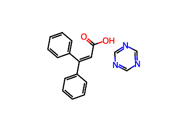 O=C(O)C=C(c1ccccc1)c1ccccc1.c1ncncn1